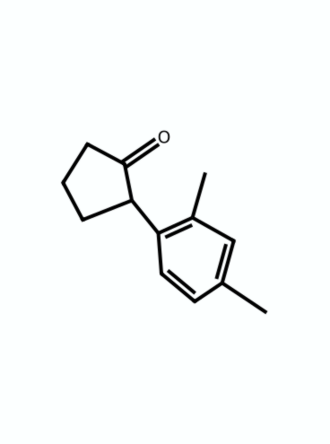 Cc1ccc(C2CCCC2=O)c(C)c1